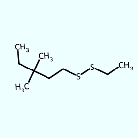 CCSSCCC(C)(C)CC